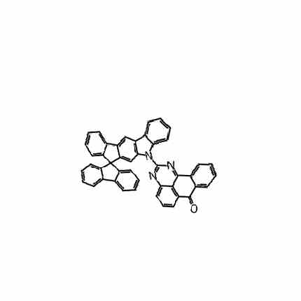 O=C1c2ccccc2-c2nc(-n3c4ccccc4c4cc5c(cc43)C3(c4ccccc4-c4ccccc43)c3ccccc3-5)nc3cccc1c23